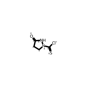 O=C1CCN(C(=S)Cl)N1